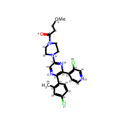 COCCC(=O)N1CCN(c2cnc(-c3ccc(Cl)cc3C)c(-c3ccncc3Cl)n2)CC1